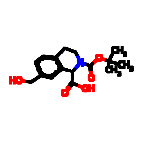 CC(C)(C)OC(=O)N1CCc2ccc(CO)cc2C1C(=O)O